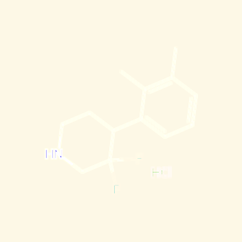 Cc1cccc(C2CCNCC2(F)F)c1C.Cl